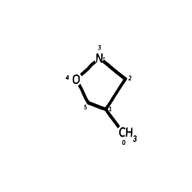 CC1C[N]OC1